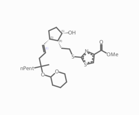 CCCCCC(C)(C/C=C/[C@@H]1CC[C@H](O)[C@@H]1CCSc1nc(C(=O)OC)cs1)OC1CCCCO1